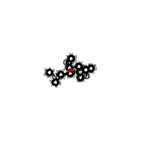 c1ccc(-n2c3ccccc3c3cc(-c4ccc(N(c5ccccc5-c5cccc6oc7ccccc7c56)c5cccc6oc7c8ccccc8ccc7c56)cc4)ccc32)cc1